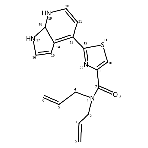 C=CCN(CC=C)C(=O)c1csc(C2=C3C=CNC3NC=C2)n1